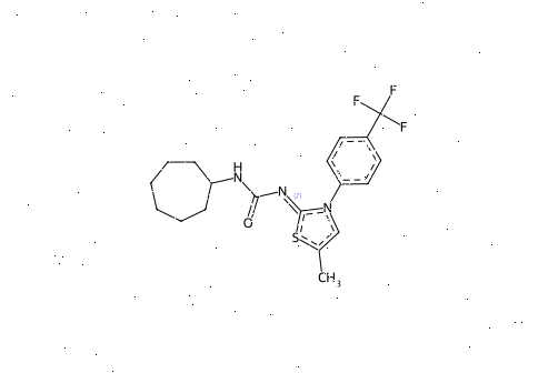 Cc1cn(-c2ccc(C(F)(F)F)cc2)/c(=N/C(=O)NC2CCCCCC2)s1